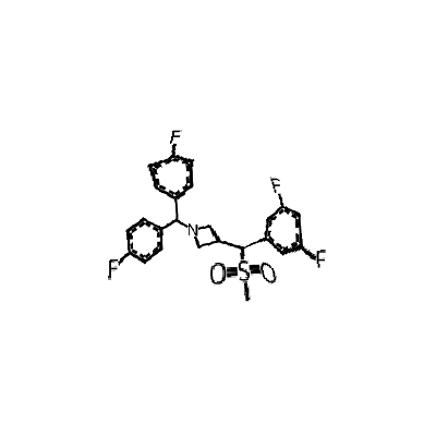 CS(=O)(=O)[C@H](c1cc(F)cc(F)c1)C1CN(C(c2ccc(F)cc2)c2ccc(F)cc2)C1